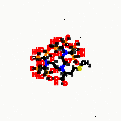 CSCC[C@@H](C(=O)O)N(CCN(C(P(=O)(O)O)P(=O)(O)O)C(P(=O)(O)O)P(=O)(O)O)CCN(C(P(=O)(O)O)P(=O)(O)O)C(P(=O)(O)O)P(=O)(O)O